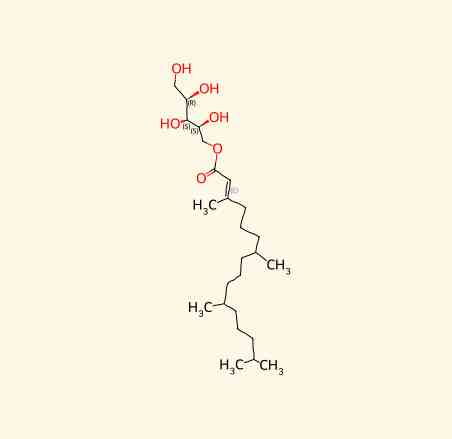 C/C(=C\C(=O)OC[C@H](O)[C@@H](O)[C@H](O)CO)CCCC(C)CCCC(C)CCCC(C)C